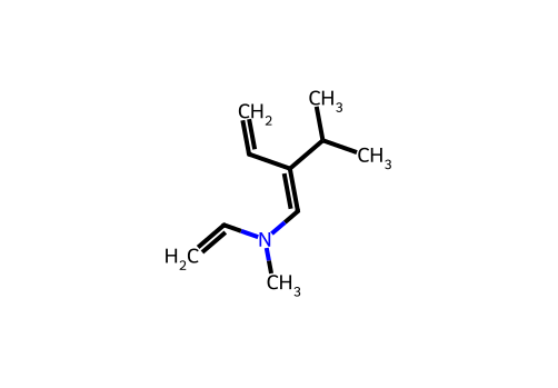 C=C/C(=C\N(C)C=C)C(C)C